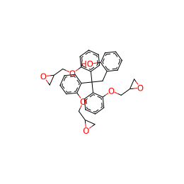 Oc1ccccc1CC(c1ccccc1OCC1CO1)(c1ccccc1OCC1CO1)c1ccccc1OCC1CO1